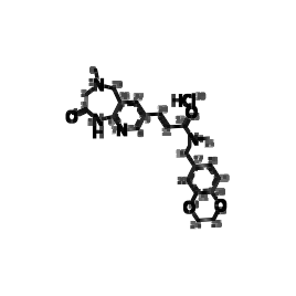 CN1CC(=O)Nc2ncc(C=CC(=O)N(C)Cc3ccc4c(c3)OCCO4)cc2C1.Cl